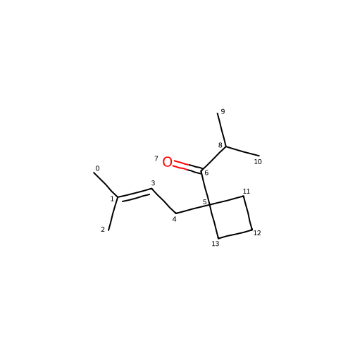 CC(C)=CCC1(C(=O)C(C)C)CCC1